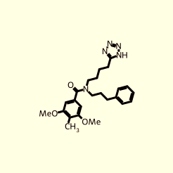 COc1cc(C(=O)N(CCCCc2nnn[nH]2)CCCc2ccccc2)cc(OC)c1C